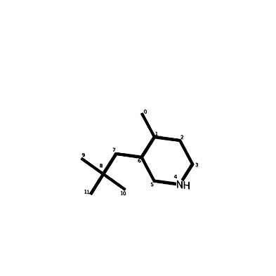 CC1CCNCC1CC(C)(C)C